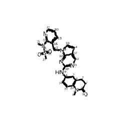 CN1C(=O)CCc2cc(Nc3ncc4ccn(Cc5cccnc5N(C)S(C)(=O)=O)c4n3)ccc21